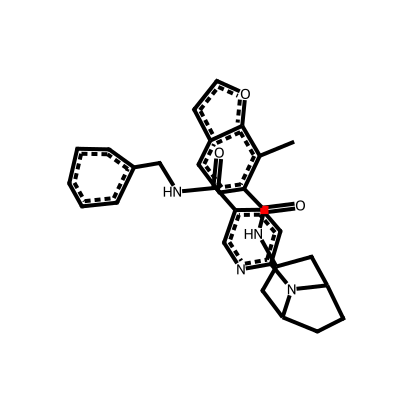 Cc1c(C(=O)NC2CC3CCC(C2)N3c2ccc(C(=O)NCc3ccccc3)cn2)ccc2ccoc12